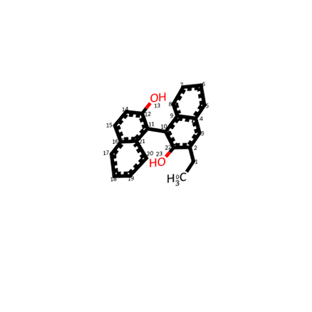 CCc1cc2ccccc2c(-c2c(O)ccc3ccccc23)c1O